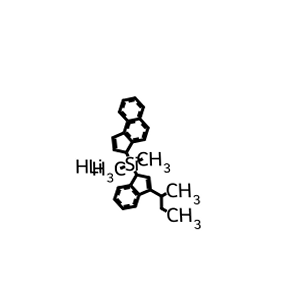 CCC(C)C1=CC([Si](C)(C)C2C=Cc3c2ccc2ccccc32)c2ccccc21.[LiH]